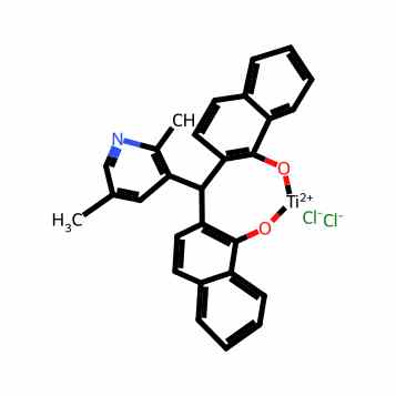 Cc1cnc(C)c(C2c3ccc4ccccc4c3[O][Ti+2][O]c3c2ccc2ccccc32)c1.[Cl-].[Cl-]